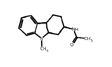 CC(=O)NC1CCC2c3ccccc3N(C)C2C1